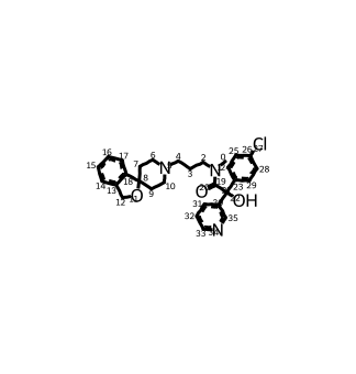 CN(CCCN1CCC2(CC1)OCc1ccccc12)C(=O)C(O)(c1ccc(Cl)cc1)c1cccnc1